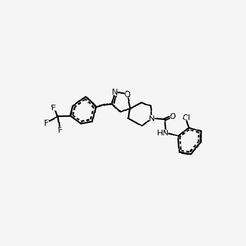 O=C(Nc1ccccc1Cl)N1CCC2(CC1)CC(c1ccc(C(F)(F)F)cc1)=NO2